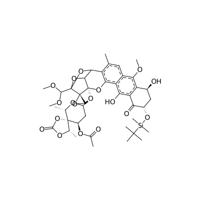 COc1c2c(c(O)c3c4c(c(C)cc13)C1OC3(C(OC)OC)OC1[C@@](O[C@H]1C[C@@H](OC(C)=O)[C@]5(OC(=O)O[C@H]5C)[C@H](C)O1)(O4)[C@@]31CO1)C(=O)[C@@H](O[Si](C)(C)C(C)(C)C)C[C@@H]2O